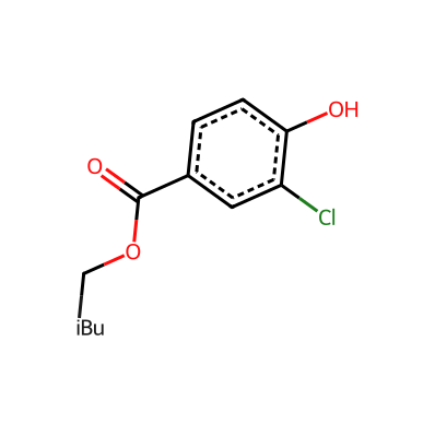 CCC(C)COC(=O)c1ccc(O)c(Cl)c1